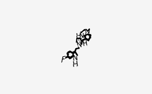 CN1CCN2c3c(cccc31)[C@@H]1CN(CCc3c[nH]c4cc(F)ccc34)CC[C@@H]12